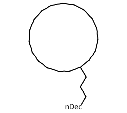 CCCCCCCCCCCCCC1CCCCCCCCCCCCCCCCCC1